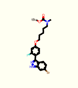 CN(CCCCCOc1ccc(-c2n[nH]c3cc(Br)ccc23)c(F)c1)C(=O)OC(C)(C)C